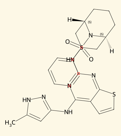 Cc1cc(Nc2nc(NC3C[C@@H]4CCC[C@@H](C3)N4S(=O)(=O)c3cccnc3)nc3sccc23)n[nH]1